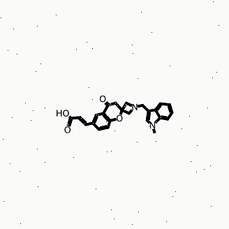 Cn1cc(CN2CC3(CC(=O)c4cc(C=CC(=O)O)ccc4O3)C2)c2ccccc21